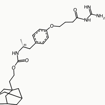 C[C@H](Cc1ccc(OCCCC(=O)NC(=N)N)cc1)NC(=O)OCCC12CC3CC(CC(C3)C1)C2